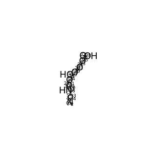 CN(C)c1ccc(C2C=Cc3cc(OCC(O)COCCOCCOCC(=O)O)ccc3N2)cc1